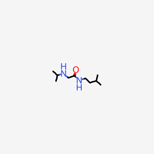 CC(C)CCNC(=O)CNC(C)C